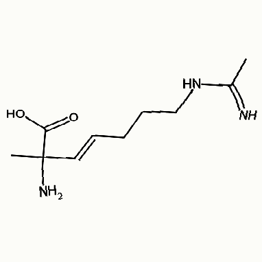 CC(=N)NCCCC=CC(C)(N)C(=O)O